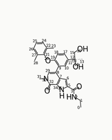 CCNC(=O)c1cc2c(-c3cc([C@](C)(O)CO)ccc3Oc3c(C)cccc3C)cn(C)c(=O)c2[nH]1